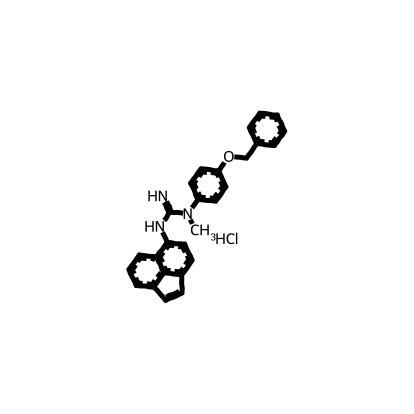 CN(C(=N)Nc1ccc2c3c(cccc13)C=C2)c1ccc(OCc2ccccc2)cc1.Cl